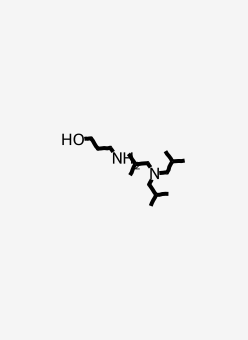 CC(C)CN(CC(C)C)CC(C)C.NCCCO